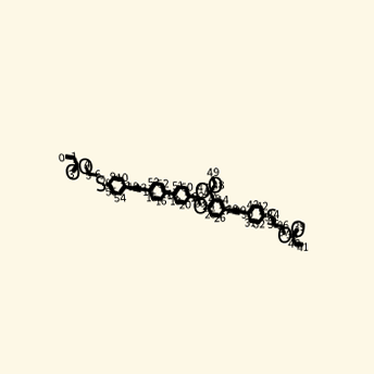 C=CC(=O)OCCSc1ccc(C#Cc2ccc(-c3ccc(COc4ccc(C#Cc5ccc(SCCOC(=O)C=C)cc5)cc4C(=O)OC)cc3)cc2)cc1